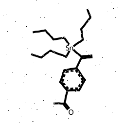 C=[C](c1ccc(C(C)=O)cc1)[Sn]([CH2]CCC)([CH2]CCC)[CH2]CCC